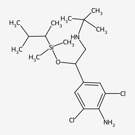 CC(C)C(C)[Si](C)(C)OC(CNC(C)(C)C)c1cc(Cl)c(N)c(Cl)c1